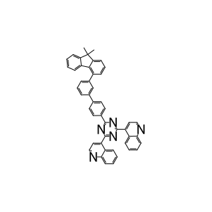 CC1(C)c2ccccc2-c2c(-c3cccc(-c4ccc(-c5nc(-c6ccnc7ccccc67)nc(-c6ccnc7ccccc67)n5)cc4)c3)cccc21